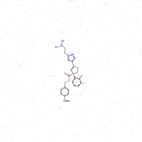 CCN(CC)CCn1cc(C2=C[C@](C(=O)OCc3ccc(OC)cc3)(c3cccc(F)c3C)CC2)cn1